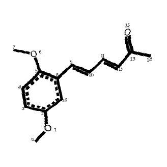 COc1ccc(OC)c(/C=C/C=C/C(C)=O)c1